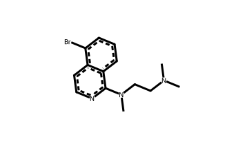 CN(C)CCN(C)c1nccc2c(Br)cccc12